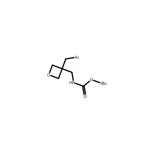 CC(=O)CC1(CNC(=O)OC(C)(C)C)COC1